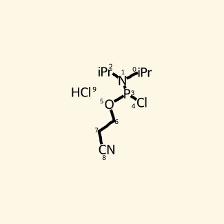 CC(C)N(C(C)C)P(Cl)OCCC#N.Cl